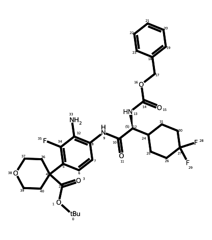 CC(C)(C)OC(=O)C1(c2ccc(NC(=O)[C@@H](NC(=O)OCc3ccccc3)C3CCC(F)(F)CC3)c(N)c2F)CCOCC1